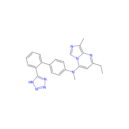 CCc1cc(N(C)c2ccc(-c3ccccc3-c3nnn[nH]3)cc2)n2cnc(C)c2n1